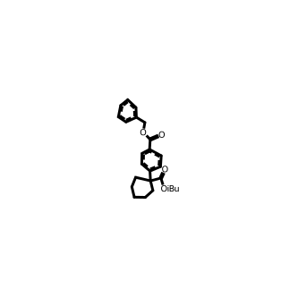 CC(C)COC(=O)C1(c2ccc(C(=O)OCc3ccccc3)cc2)CCCCC1